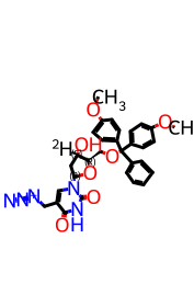 [2H][C@]1(O)C[C@H](n2cc(CN=[N+]=[N-])c(=O)[nH]c2=O)O[C@@H]1COC(c1ccccc1)(c1ccc(OC)cc1)c1ccc(OC)cc1